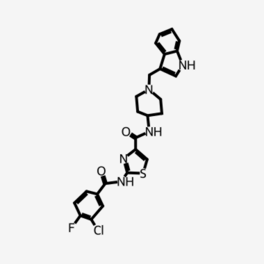 O=C(Nc1nc(C(=O)NC2CCN(Cc3c[nH]c4ccccc34)CC2)cs1)c1ccc(F)c(Cl)c1